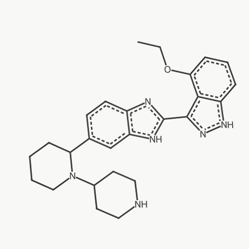 CCOc1cccc2[nH]nc(-c3nc4ccc(C5CCCCN5C5CCNCC5)cc4[nH]3)c12